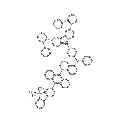 CC1(C)c2ccccc2-c2ccc(-c3c4ccccc4c(-c4cccc5c(N(c6ccccc6)c6ccc(-n7c8ccc(-c9ccccc9-c9ccccc9)cc8c8cc(-c9ccccc9-c9ccccc9)ccc87)cc6)cccc45)c4ccccc34)cc21